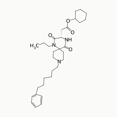 CCCN1C(=O)[C@H](CC(=O)OC2CCCCC2)NC(=O)C12CCN(CCCCCCc1ccccc1)CC2